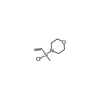 C=C[Si](C)(Cl)N1CCOCC1